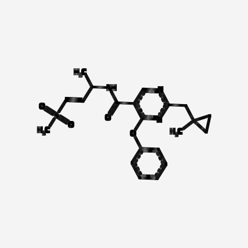 CC(C=CS(C)(=O)=O)NC(=O)c1cnc(CC2(C)CC2)nc1Oc1ccccc1